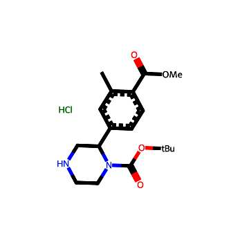 COC(=O)c1ccc(C2CNCCN2C(=O)OC(C)(C)C)cc1C.Cl